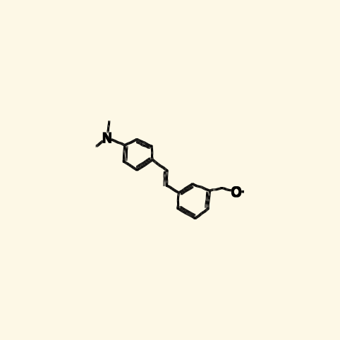 CN(C)c1ccc(C=Cc2cccc(C[O])c2)cc1